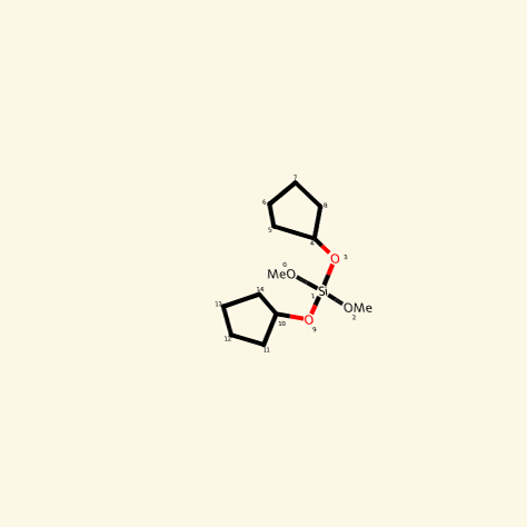 CO[Si](OC)(OC1CCCC1)OC1CCCC1